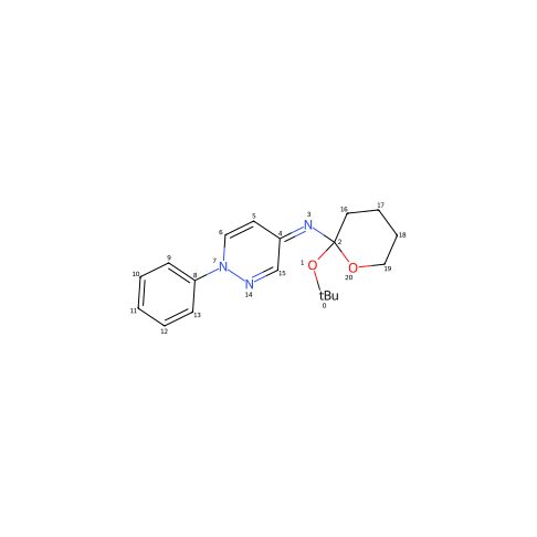 CC(C)(C)OC1(N=c2ccn(-c3ccccc3)nc2)CCCCO1